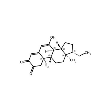 CC[C@H]1CC[C@H]2[C@@H]3C(O)=CC4=CC(=O)C(=O)C[C@]4(C)[C@H]3CC[C@]12C